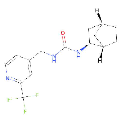 O=C(NCc1ccnc(C(F)(F)F)c1)N[C@H]1C[C@@H]2CC[C@H]1C2